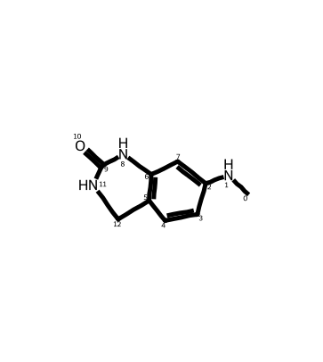 CNc1ccc2c(c1)NC(=O)NC2